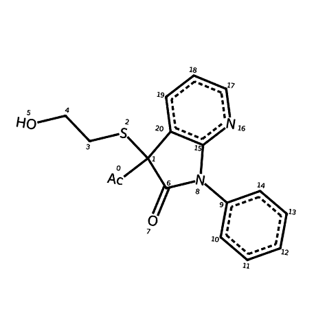 CC(=O)C1(SCCO)C(=O)N(c2ccccc2)c2ncccc21